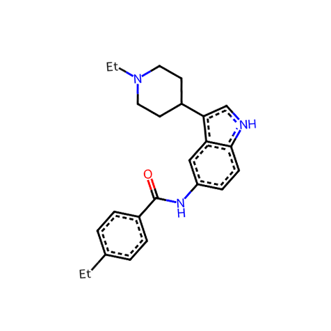 CCc1ccc(C(=O)Nc2ccc3[nH]cc(C4CCN(CC)CC4)c3c2)cc1